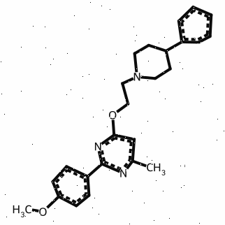 COc1ccc(-c2nc(C)cc(OCCN3CCC(c4ccccc4)CC3)n2)cc1